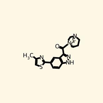 Cc1csc(-c2ccc3[nH]nc(C(=O)N4CCN5CCC4CC5)c3c2)n1